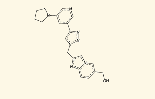 OCc1ccc2nc(Cn3cc(-c4cncc(N5CCCC5)c4)nn3)cn2c1